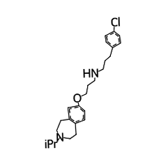 CC(C)N1CCc2ccc(OCCCNCCCc3ccc(Cl)cc3)cc2CC1